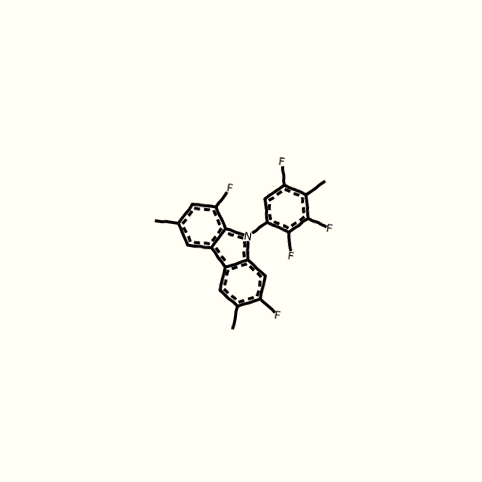 Cc1cc(F)c2c(c1)c1cc(C)c(F)cc1n2-c1cc(F)c(C)c(F)c1F